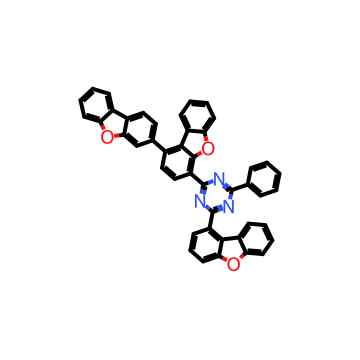 c1ccc(-c2nc(-c3ccc(-c4ccc5c(c4)oc4ccccc45)c4c3oc3ccccc34)nc(-c3cccc4oc5ccccc5c34)n2)cc1